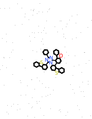 c1ccc(-c2nc(-c3cccc4c3sc3ccccc34)nc(-c3c(-c4cccc5sc6ccccc6c45)ccc4oc5ccccc5c34)n2)cc1